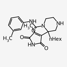 CCCCCCC1(C2=C(C)C(=O)NC2=O)CNCCN1C(=O)Nc1cccc(C)c1